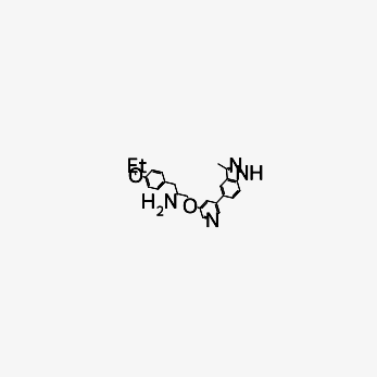 CCOc1ccc(C[C@H](N)COc2cncc(-c3ccc4[nH]nc(C)c4c3)c2)cc1